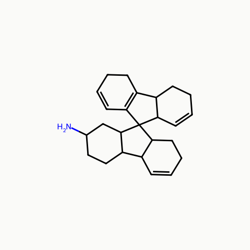 NC1CCC2C3C=CCCC3C3(C4=C(CCC=C4)C4CCC=CC43)C2C1